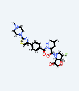 CC(C)CC(NC(=O)c1ccc(-c2csc(N3CCN(C)CC3)n2)cc1)C(=O)N1C[C@H](F)[C@H]2OCC(=O)C21